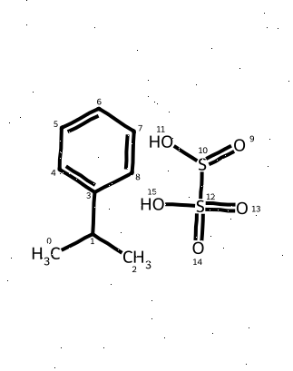 CC(C)c1ccccc1.O=S(O)S(=O)(=O)O